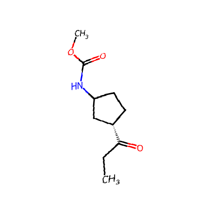 CCC(=O)[C@H]1CCC(NC(=O)OC)C1